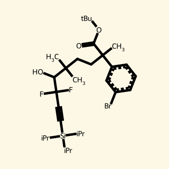 CC(C)[Si](C#CC(F)(F)C(O)C(C)(C)CCC(C)(C(=O)OC(C)(C)C)c1cccc(Br)c1)(C(C)C)C(C)C